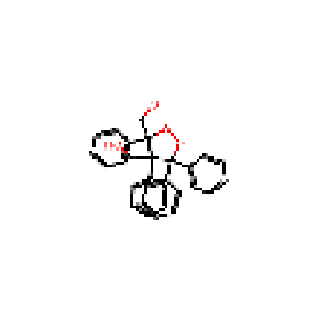 OCC1(c2ccccc2)OOC(c2ccccc2)(c2ccccc2)C1(CO)c1ccccc1